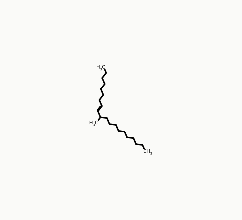 CCCCCCCC=CC(C)CCCCCCCCCC